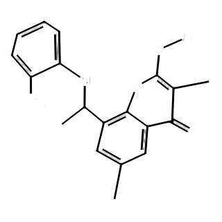 CCSc1oc2c(C(C)Nc3ccccc3C(=O)O)cc(C)cc2c(=O)c1C